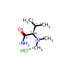 CC(C)[C@H](C(N)=O)N(C)C.Cl